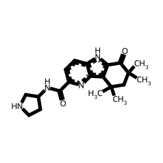 CC1(C)CC(C)(C)c2c([nH]c3ccc(C(=O)NC4CCNC4)nc23)C1=O